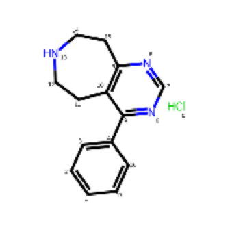 Cl.c1ccc(-c2ncnc3c2CCNCC3)cc1